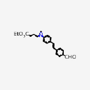 CCOC(=O)CCCN(C)c1ccc(/C=C/c2ccc(C=O)cc2)cc1